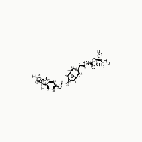 CC(C)(C)OC(=O)NCCN1CC2CN(CCOc3ccc(NS(C)(=O)=O)cc3)CC(C1)O2